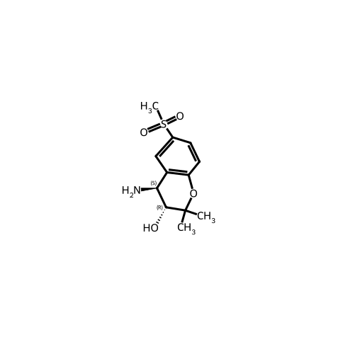 CC1(C)Oc2ccc(S(C)(=O)=O)cc2[C@H](N)[C@H]1O